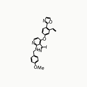 C=Cc1cc(Oc2ccnc3c2c(I)nn3Cc2ccc(OC)cc2)ccc1-c1ncco1